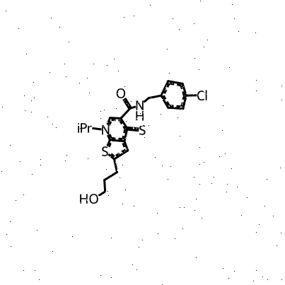 CC(C)n1cc(C(=O)NCc2ccc(Cl)cc2)c(=S)c2cc(CCCO)sc21